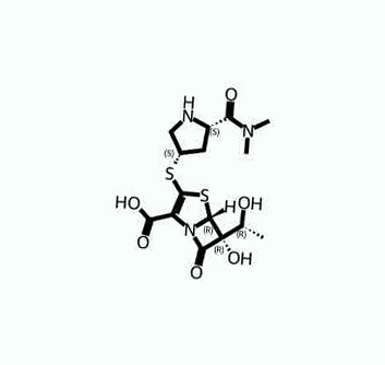 C[C@@H](O)[C@@]1(O)C(=O)N2C(C(=O)O)=C(S[C@@H]3CN[C@H](C(=O)N(C)C)C3)S[C@@H]21